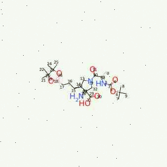 C[C@H](NC(=O)OC(C)(C)C)C(=O)N1C[C@H](CCCB2OC(C)(C)C(C)(C)O2)[C@](N)(C(=O)O)C1